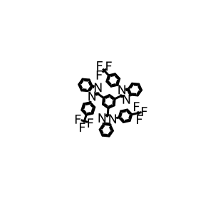 FC(F)(F)c1ccc(-n2c(-c3cc(-c4nc5ccccc5n4-c4ccc(C(F)(F)F)cc4)cc(-c4nc5ccccc5n4-c4ccc(C(F)(F)F)cc4)c3)nc3ccccc32)cc1